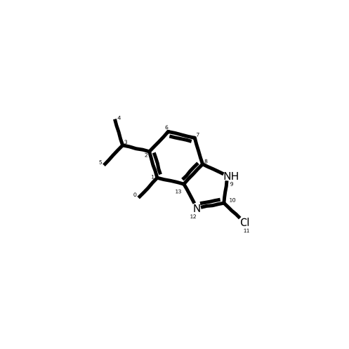 Cc1c(C(C)C)ccc2[nH]c(Cl)nc12